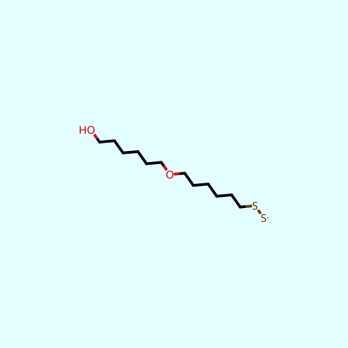 OCCCCCCOCCCCCCS[S]